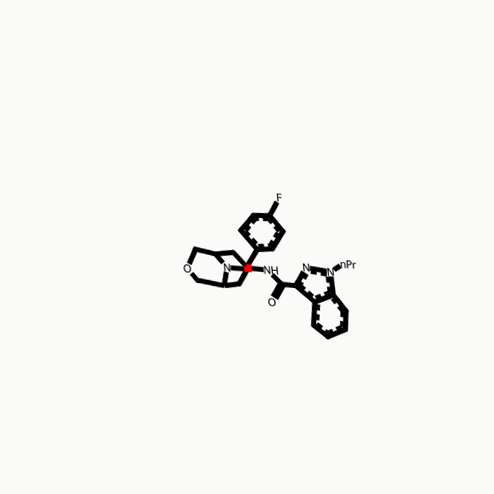 CCCn1nc(C(=O)NC2CC3COCC(C2)N3Cc2ccc(F)cc2)c2ccccc21